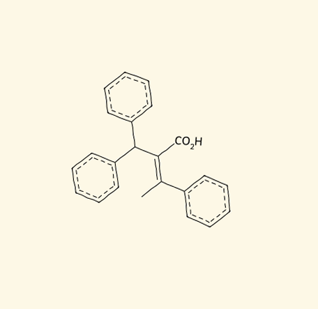 CC(=C(C(=O)O)C(c1ccccc1)c1ccccc1)c1ccccc1